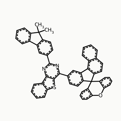 CC1(C)c2ccccc2-c2cc(-c3nc(-c4ccc5c(c4)-c4c(ccc6ccccc46)C54c5ccccc5Oc5ccccc54)c4sc5ccccc5c4n3)ccc21